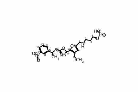 CCc1cc(CNCCCO[PH](=O)O)oc1-c1nnc(SC(C)c2cccc([N+](=O)[O-])c2)o1